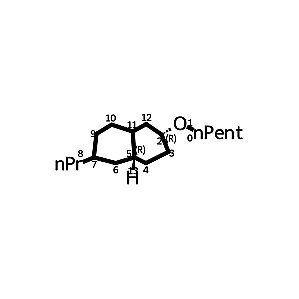 CCCCCO[C@@H]1CC[C@@H]2CC(CCC)CCC2C1